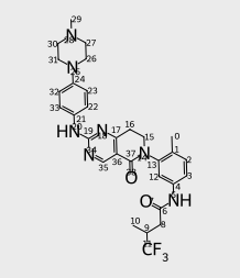 Cc1ccc(NC(=O)CC(C)C(F)(F)F)cc1N1CCc2nc(Nc3ccc(N4CCN(C)CC4)cc3)ncc2C1=O